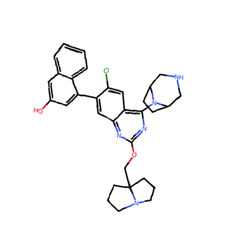 Oc1cc(-c2cc3nc(OCC45CCCN4CCC5)nc(N4C5CCC4CNC5)c3cc2Cl)c2ccccc2c1